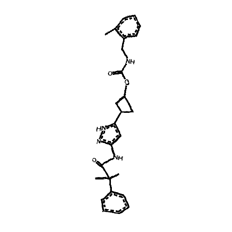 Cc1ccccc1CNC(=O)OC1CC(c2cc(NC(=O)C(C)(C)c3ccccc3)n[nH]2)C1